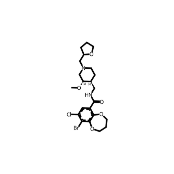 CO[C@@H]1CN(CC2CCCO2)CC[C@H]1CNC(=O)c1cc(Cl)c(Br)c2c1OCCCO2